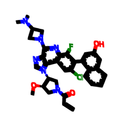 C=CC(=O)N1C[C@@H](n2cnc3c(N4CC(N(C)C)C4)nc4c(F)c(-c5cc(O)cc6ccccc56)c(Cl)cc4c32)[C@H](OC)C1